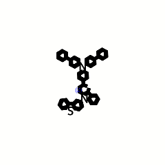 Cc1c(/C=C\C(C)c2ccc(N(c3ccc(-c4ccccc4)cc3)c3ccc(-c4ccccc4)cc3)cc2)n(-c2ccc3sc4ccccc4c3c2)c2ccccc12